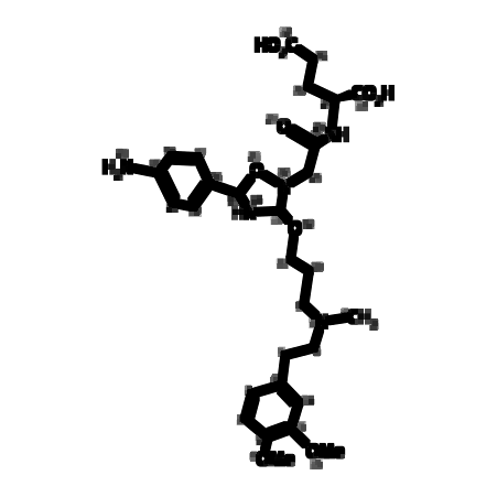 COc1ccc(CCN(C)CCCOC2NC(c3ccc(N)cc3)ON2CC(=O)N[C@@H](CCC(=O)O)C(=O)O)cc1OC